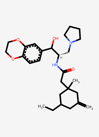 C=C1CC(CC)CC(C)(CC(=O)N[C@@H](CN2CCCC2)C(O)c2ccc3c(c2)OCCO3)C1